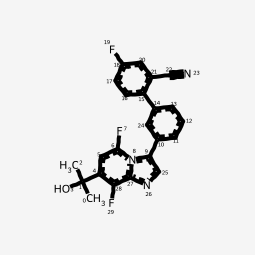 CC(C)(O)c1cc(F)n2c(-c3cccc(-c4ccc(F)cc4C#N)c3)cnc2c1F